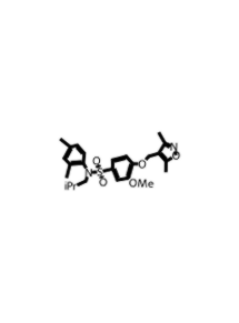 COc1cc(S(=O)(=O)N(CC(C)C)c2ccc(C)cc2C)ccc1OCc1c(C)noc1C